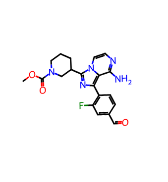 COC(=O)N1CCCC(c2nc(-c3ccc(C=O)cc3F)c3c(N)nccn23)C1